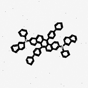 c1ccc(-c2ccc(-c3c4ccc5cc(N(c6ccccc6)c6ccc7ccccc7c6)ccc5c4c(-c4ccc(-c5ccccc5)cc4)c4ccc5cc(N(c6ccccc6)c6ccc7ccccc7c6)ccc5c34)cc2)cc1